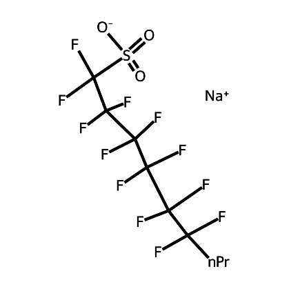 CCCC(F)(F)C(F)(F)C(F)(F)C(F)(F)C(F)(F)C(F)(F)S(=O)(=O)[O-].[Na+]